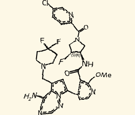 COc1nccc(-c2cc(CN3CCC(F)(F)CC3)c3c(N)ncnn23)c1C(=O)N[C@@H]1CN(C(=O)c2ccc(Cl)cn2)C[C@@H]1F